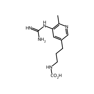 Cc1ncc(CCCNC(=O)O)cc1NC(=N)N